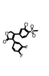 CS(=O)(=O)c1ccc(C2=C(c3ccc(F)c(F)c3)C(=O)OC2)cc1Cl